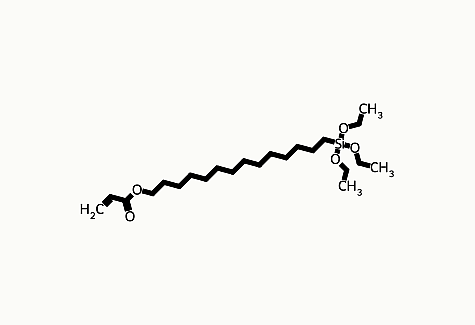 C=CC(=O)OCCCCCCCCCCCCCC[Si](OCC)(OCC)OCC